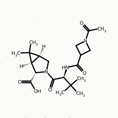 CC(=O)N1CC(C(=O)N[C@H](C(=O)N2C[C@H]3[C@@H]([C@H]2C(=O)O)C3(C)C)C(C)(C)C)C1